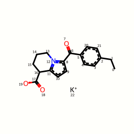 CCc1ccc(C(=O)c2ccc3n2CCCC3C(=O)[O-])cc1.[K+]